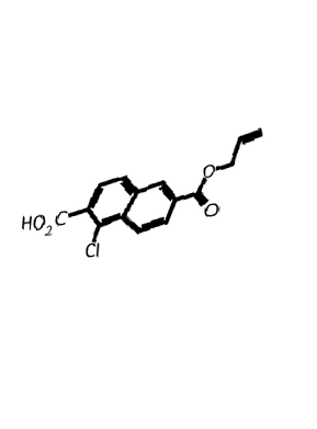 C=CCOC(=O)c1ccc2c(Cl)c(C(=O)O)ccc2c1